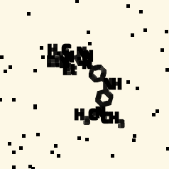 CCN(CC)N(C)c1cn(-c2ccc(Nc3ccc(N(C)C)cc3)cc2)nn1